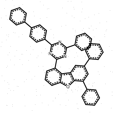 c1ccc(-c2ccc(-c3nc(-c4ccccc4)nc(-c4cccc5oc6c(-c7ccccc7)cc(-c7ccccc7)cc6c45)n3)cc2)cc1